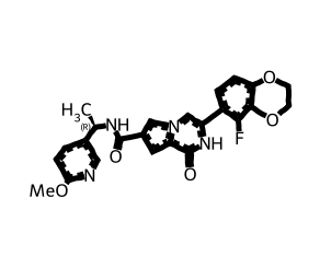 COc1ccc([C@@H](C)NC(=O)c2cc3c(=O)[nH]c(-c4ccc5c(c4F)OCCO5)cn3c2)cn1